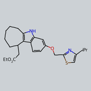 CCOC(=O)CC1CCCCCc2[nH]c3cc(OCc4nc(C(C)C)cs4)ccc3c21